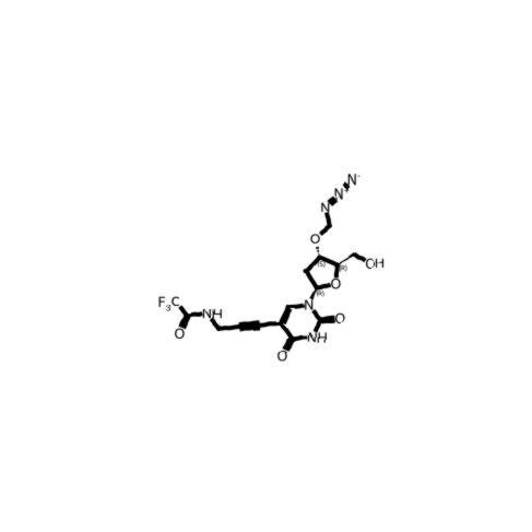 [N-]=[N+]=NCO[C@H]1C[C@H](n2cc(C#CCNC(=O)C(F)(F)F)c(=O)[nH]c2=O)O[C@@H]1CO